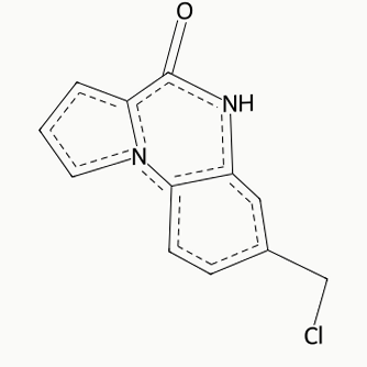 O=c1[nH]c2cc(CCl)ccc2n2cccc12